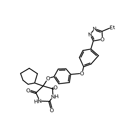 CCc1nnc(-c2ccc(Oc3ccc(OC4(C5CCCCC5)C(=O)NC(=O)NC4=O)cc3)cc2)o1